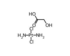 O=C(O)CO.[NH2][Pt]([NH2])([Cl])[Cl]